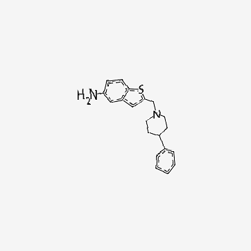 Nc1ccc2sc(CN3CCC(c4ccccc4)CC3)cc2c1